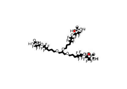 O=P(O)(O)C(F)(F)C(F)(F)OC(F)(F)C(F)(F)CCCOCC(COCCCC(F)(F)C(F)(F)OC(F)(F)C(F)(F)P(=O)(O)O)OCCCC(F)(F)C(F)(F)OC(F)(F)C(F)(F)P(=O)(O)O